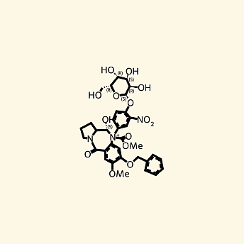 COC(=O)[N+]1(c2ccc(O[C@@H]3O[C@H](CO)[C@H](O)[C@H](O)[C@H]3O)c([N+](=O)[O-])c2)c2cc(OCc3ccccc3)c(OC)cc2C(=O)N2CCCC2[C@@H]1O